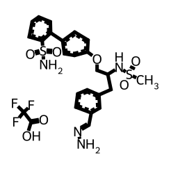 CS(=O)(=O)NC(COc1ccc(-c2ccccc2S(N)(=O)=O)cc1)Cc1cccc(C=NN)c1.O=C(O)C(F)(F)F